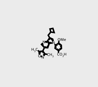 COc1ccc(C(=O)O)cc1-n1cc(CC2CCC2)c2ncc(-c3c(C)noc3C)cc21